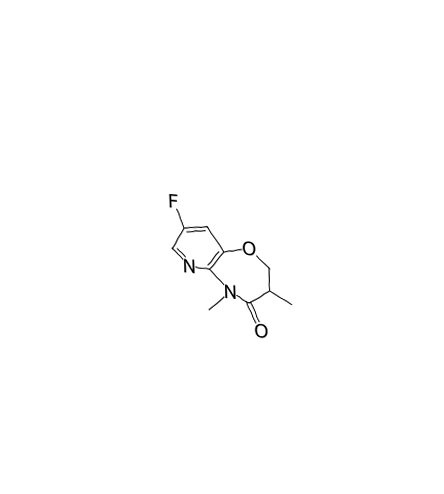 CC1COc2cc(F)cnc2N(C)C1=O